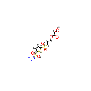 COCC(=O)OCCCS(=O)(=O)c1ccc(S(N)(=O)=O)s1